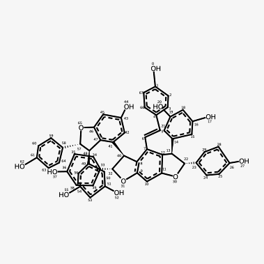 Oc1ccc(/C=C/c2c3c(cc4c2[C@@H](c2cc(O)cc(O)c2)[C@H](c2ccc(O)cc2)O4)O[C@H](c2ccc(O)cc2)[C@H]3c2cc(O)cc3c2[C@@H](c2cc(O)cc(O)c2)[C@H](c2ccc(O)cc2)O3)cc1